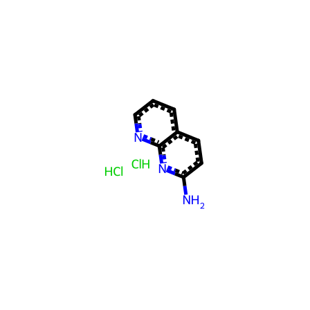 Cl.Cl.Nc1ccc2cccnc2n1